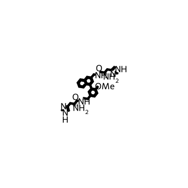 COc1ccc(CCNC(=O)[C@@H](N)Cc2c[nH]cn2)cc1-c1cc(CNC(=O)[C@@H](N)Cc2c[nH]cn2)cc2ccccc12